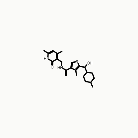 C=C(NCc1c(C)cc(C)[nH]c1=O)c1csc(C(O)C2CCC(C)CC2)c1C